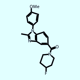 COc1ccc(-n2c(C)nc3cc(C(=O)N4CCC(F)CC4)ccc32)cc1